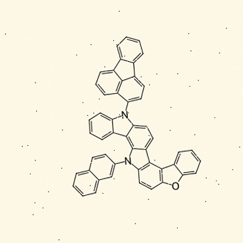 c1ccc2c(c1)-c1cccc3c(-n4c5ccccc5c5c4ccc4c6c7c(ccc6n(-c6ccc8ccccc8c6)c45)oc4ccccc47)ccc-2c13